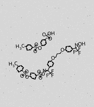 Cc1ccc(S(=O)(=O)Oc2ccc(S(=O)(=O)O)cc2)cc1.Cc1ccc(S(=O)(=O)Oc2ccc(S(=O)(=O)ON=C(c3ccc(OCCCOc4ccc(C(=NO)C(F)(F)F)cc4)cc3)C(F)(F)F)cc2)cc1